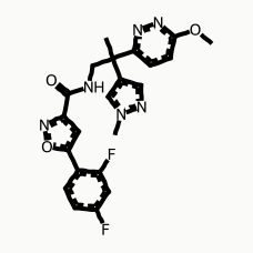 COc1ccc(C(C)(CNC(=O)c2cc(-c3ccc(F)cc3F)on2)c2cnn(C)c2)nn1